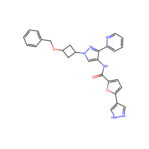 O=C(Nc1cn(C2CC(OCc3ccccc3)C2)nc1-c1ccccn1)c1ccc(-c2cn[nH]c2)o1